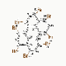 Brc1cc(Br)c2c3c(Br)cc(Br)c4c(Br)cc(Br)c(c5c(Br)cc(Br)c1c25)c43